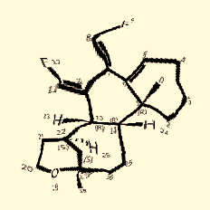 C[C@]12CCCC=C1C(=CF)C(=CF)[C@@H]1[C@H]2CC[C@]2(C)OCC[C@@H]12